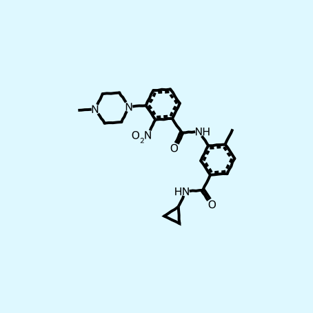 Cc1ccc(C(=O)NC2CC2)cc1NC(=O)c1cccc(N2CCN(C)CC2)c1[N+](=O)[O-]